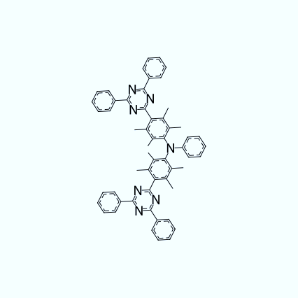 Cc1c(C)c(N(c2ccccc2)c2c(C)c(C)c(-c3nc(-c4ccccc4)nc(-c4ccccc4)n3)c(C)c2C)c(C)c(C)c1-c1nc(-c2ccccc2)nc(-c2ccccc2)n1